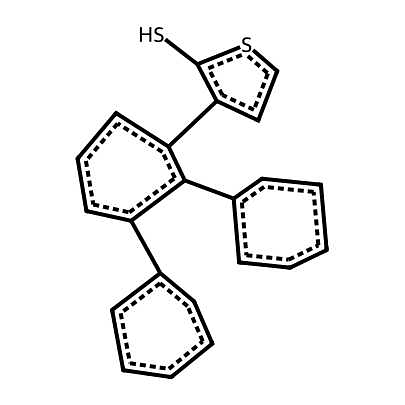 Sc1sccc1-c1cccc(-c2ccccc2)c1-c1ccccc1